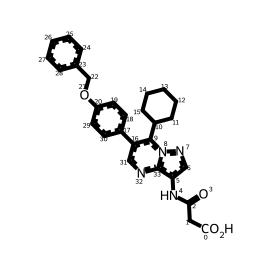 O=C(O)CC(=O)Nc1cnn2c(C3CCCCC3)c(-c3ccc(OCc4ccccc4)cc3)cnc12